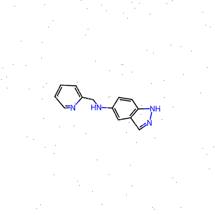 c1ccc(CNc2ccc3[nH]ncc3c2)nc1